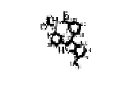 CC(=O)Nc1cc(-c2[nH]c3c(CF)ccnc3c2-c2cccc(C(F)F)n2)ccn1